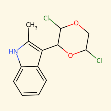 Cc1[nH]c2ccccc2c1C1OC(Cl)COC1Cl